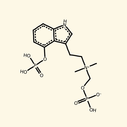 C[N+](C)(CCc1c[nH]c2cccc(OP(=O)(O)O)c12)COP(=O)([O-])O